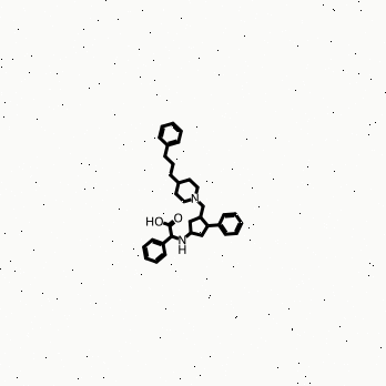 O=C(O)C(NC1CC(CN2CCC(CCCc3ccccc3)CC2)C(c2ccccc2)C1)c1ccccc1